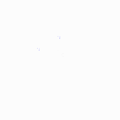 c1ccc(-c2c3ccccc3c(-c3ccccc3)c3cc(-c4ccc(N(c5ccccc5)c5cccc(-n6c7ccccc7c7ccccc76)c5)cc4)ccc23)cc1